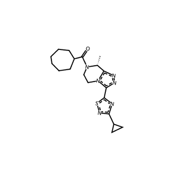 C[C@@H]1c2nnc(-c3nc(C4CC4)ns3)n2CCN1C(=O)C1CCCCCC1